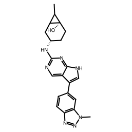 CC1C2C[C@@H](Nc3ncc4c(-c5ccc6nnn(C)c6c5)c[nH]c4n3)CC[C@]12O